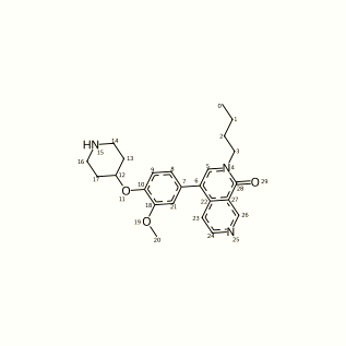 CCCCn1cc(-c2ccc(OC3CCNCC3)c(OC)c2)c2ccncc2c1=O